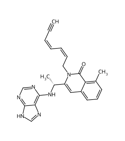 C#C/C=C\C=C/Cn1c([C@@H](C)Nc2ncnc3[nH]cnc23)cc2cccc(C)c2c1=O